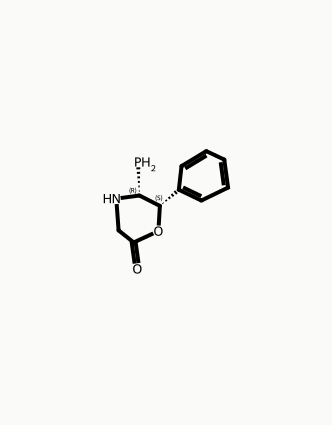 O=C1CN[C@H](P)[C@H](c2ccccc2)O1